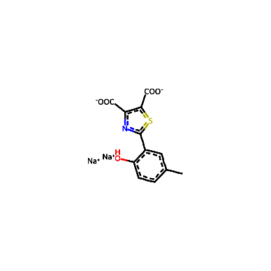 Cc1ccc(O)c(-c2nc(C(=O)[O-])c(C(=O)[O-])s2)c1.[Na+].[Na+]